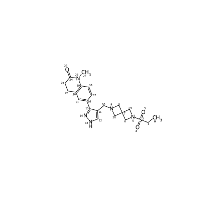 CCS(=O)(=O)N1CC2(CN(Cc3c[nH]nc3-c3ccc4c(c3)CCC(=O)N4C)C2)C1